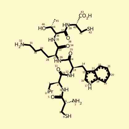 CC(C)C[C@H](NC(=O)[C@H](N)CS)C(=O)N[C@H](Cc1c[nH]c2ccccc12)C(=O)N[C@@H](CCCCN)C(=O)N[C@H](C(=O)N[C@@H](CS)C(=O)O)[C@@H](C)O